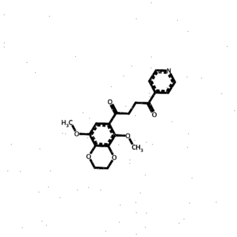 COc1cc(C(=O)CCC(=O)c2ccncc2)c(OC)c2c1OCCO2